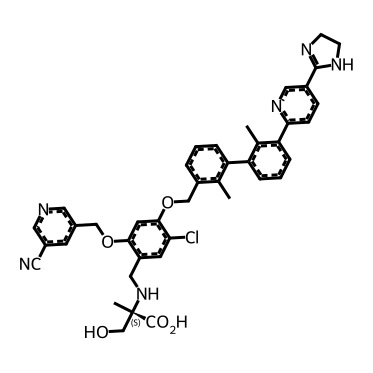 Cc1c(COc2cc(OCc3cncc(C#N)c3)c(CN[C@@](C)(CO)C(=O)O)cc2Cl)cccc1-c1cccc(-c2ccc(C3=NCCN3)cn2)c1C